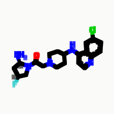 N[C@@H]1C[C@H](F)CN1C(=O)CN1CCC(Nc2ccnc3ccc(Cl)cc23)CC1